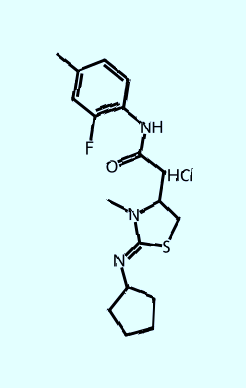 Cc1ccc(NC(=O)CC2CS/C(=N\C3CCCC3)N2C)c(F)c1.Cl